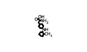 Cc1ccccc1Nc1ccc(CC(N)C(=O)O)cc1